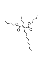 CCCCCCCCC(C(=O)OCCCC)=C(CCC)C(=O)OCCCC